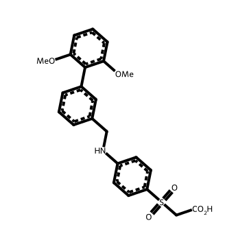 COc1cccc(OC)c1-c1cccc(CNc2ccc(S(=O)(=O)CC(=O)O)cc2)c1